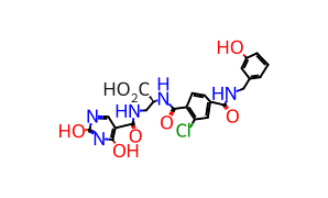 O=C(NCc1cccc(O)c1)c1ccc(C(=O)N[C@@H](CNC(=O)c2cnc(O)nc2O)C(=O)O)c(Cl)c1